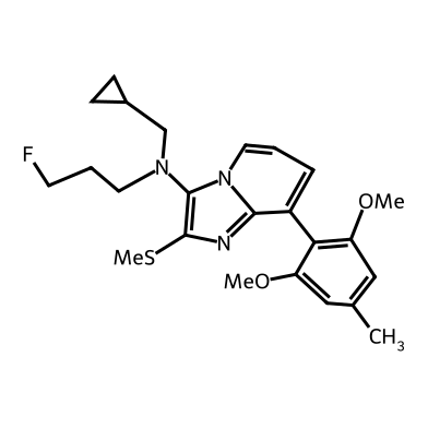 COc1cc(C)cc(OC)c1-c1cccn2c(N(CCCF)CC3CC3)c(SC)nc12